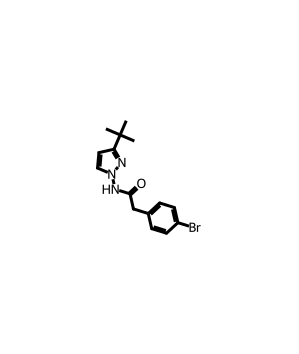 CC(C)(C)c1ccn(NC(=O)Cc2ccc(Br)cc2)n1